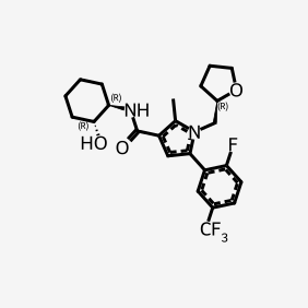 Cc1c(C(=O)N[C@@H]2CCCC[C@H]2O)cc(-c2cc(C(F)(F)F)ccc2F)n1C[C@H]1CCCO1